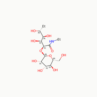 CCNC(=O)[C@@H](O[C@H]1O[C@H](CO)[C@@H](O)[C@H](O)[C@@H]1O)[C@@H](O)[C@H](O)[C@H](O)CC